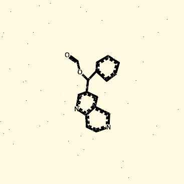 O=COC(c1ccccc1)c1cnc2ccncc2c1